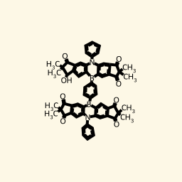 CC1(C)C(=O)c2cc3c(cc2C1=O)N(c1ccccc1)c1cc2c(cc1B3c1ccc(B3c4cc5c(cc4N(c4ccccc4)c4cc6c(cc43)C(O)C(C)(C)C6=O)C(=O)C(C)(C)C5=O)cc1)C(=O)C(C)(C)C2=O